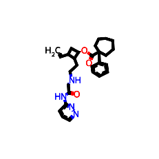 C=CC1C[C@H](OC(=O)C2(c3ccccc3)CCCCCC2)C1CCNCC(=O)Nc1cccnn1